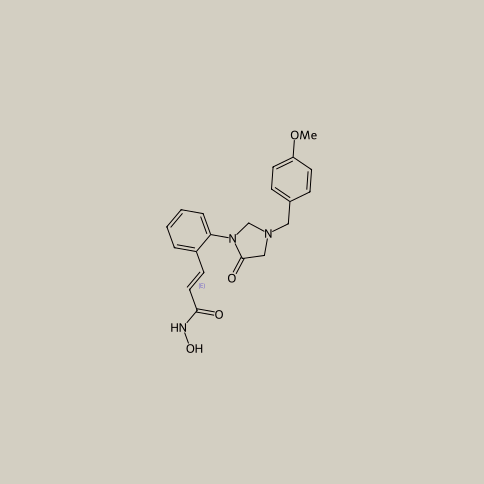 COc1ccc(CN2CC(=O)N(c3ccccc3/C=C/C(=O)NO)C2)cc1